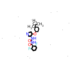 CC(C)C1(C)CCCC(Oc2ccncc2NC(=O)NC(=O)c2c(F)cccc2F)C1